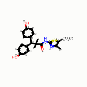 CCOC(=O)c1sc(NC(=O)C(C)(C)C(c2ccc(O)cc2)c2ccc(O)cc2)nc1C